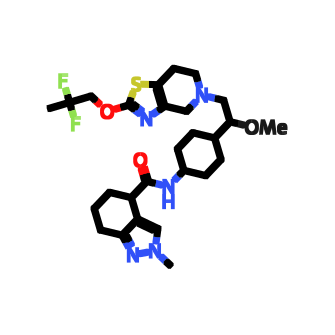 COC(CN1CCc2sc(OCC(C)(F)F)nc2C1)C1CCC(NC(=O)C2CCCc3nn(C)cc32)CC1